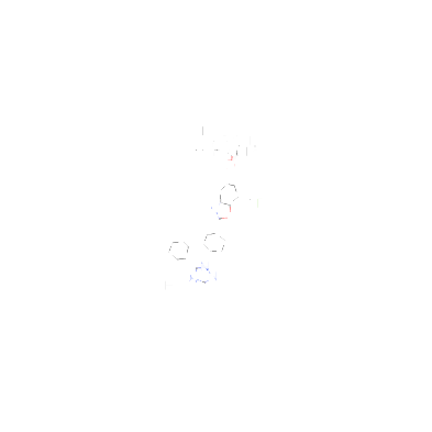 Cn1cnnc1-c1ccccc1-c1cccc(-c2nc3cc(CO[Si](C)(C)C(C)(C)C)cc(C(F)(F)F)c3o2)c1